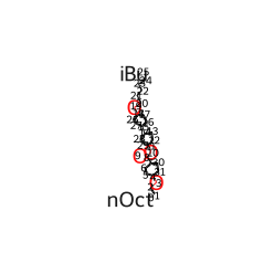 CCCCCCCC/C=C/Oc1ccc(C(=O)Oc2ccc(-c3ccc(OCCCCC[C@@H](C)CC)cc3)cc2)cc1